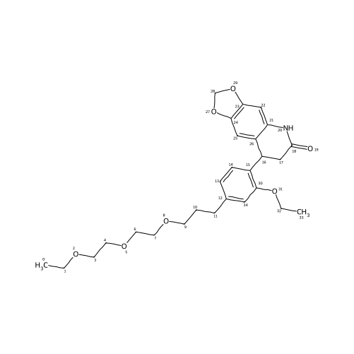 CCOCCOCCOCCCc1ccc(C2CC(=O)Nc3cc4c(cc32)OCO4)c(OCC)c1